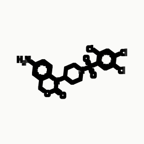 Nc1ccc2c(c1)COC(=O)N2C1CCN(S(=O)(=O)c2cc(Cl)c(Cl)cc2Cl)CC1